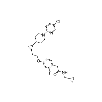 O=C(Cc1ccc(OCCC2CC2C2CCN(c3ncc(Cl)cn3)CC2)cc1F)NCC1CC1